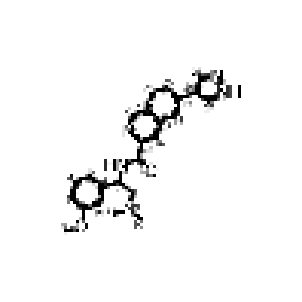 COc1cccc(C(CN(C)C)NC(=O)c2cc3cc(-c4cn[nH]c4)ccc3cn2)c1